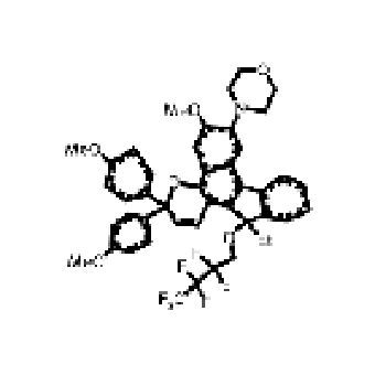 CCC1(OCC(F)(F)C(F)(F)C(F)(F)F)c2ccccc2-c2c1c1c(c3cc(OC)c(N4CCOCC4)cc23)OC(c2ccc(OC)cc2)(c2ccc(OC)cc2)C=C1